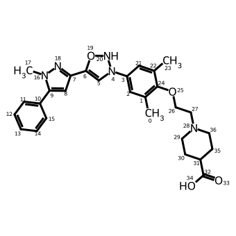 Cc1cc(N2C=C(c3cc(-c4ccccc4)n(C)n3)ON2)cc(C)c1OCCN1CCC(C(=O)O)CC1